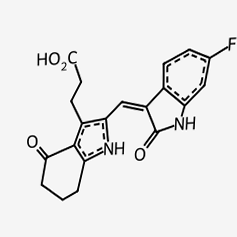 O=C(O)CCc1c(C=C2C(=O)Nc3cc(F)ccc32)[nH]c2c1C(=O)CCC2